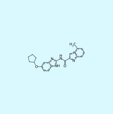 Cc1cccc2nc(C(=O)Nc3nc4cc(OC5CCCC5)ccc4[nH]3)cn12